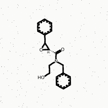 O=C([C@@H]1OC1c1ccccc1)N(CCO)Cc1ccccc1